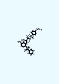 COc1ccc(S(=O)(=O)NC(=O)c2cc3c(NC(=O)c4ccccc4)ccc(N=O)c3[nH]2)cc1